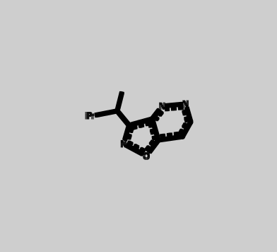 CC(C)C(C)c1noc2ccnnc12